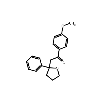 COc1ccc(C(=O)CC2(c3ccccc3)CCCO2)cc1